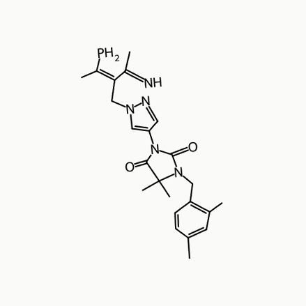 CC(=N)/C(Cn1cc(N2C(=O)N(Cc3ccc(C)cc3C)C(C)(C)C2=O)cn1)=C(/C)P